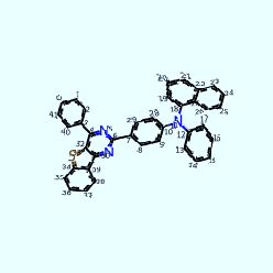 c1ccc(-c2nc(-c3ccc(N(c4ccccc4)c4cccc5ccccc45)cc3)nc3c2sc2ccccc23)cc1